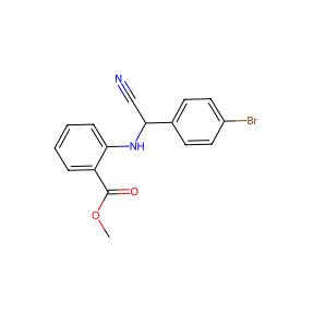 COC(=O)c1ccccc1NC(C#N)c1ccc(Br)cc1